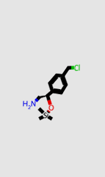 C[Si](C)(C)O[C@@H](CN)c1ccc(CCl)cc1